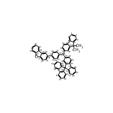 CC1(C)c2ccccc2-c2ccc(N(c3ccc(-c4ccc5oc6ccccc6c5c4)cc3)c3ccc4c(c3)C(c3ccccc3)(c3ccccc3)c3ccccc3-4)cc21